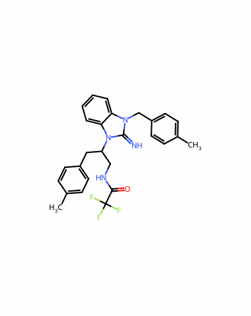 Cc1ccc(CC(CNC(=O)C(F)(F)F)n2c(=N)n(Cc3ccc(C)cc3)c3ccccc32)cc1